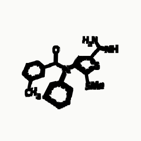 CSc1sc(C(=N)N)cc1N(C(=O)c1cccc(C)c1)c1ccccc1